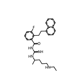 CCNCCCC(C)NC(=N)NC(=O)c1cccc(F)c1CCc1cccc2ccccc12